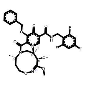 CO/C1=N/OCC[C@H](C)N2C[C@H]([C@H]1O)n1cc(C(=O)NCc3c(F)cc(F)cc3F)c(=O)c(OCc3ccccc3)c1C2=O